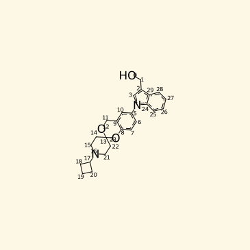 OCc1cn(-c2ccc3c(c2)COC2(CCN(C4CCC4)CC2)O3)c2ccccc12